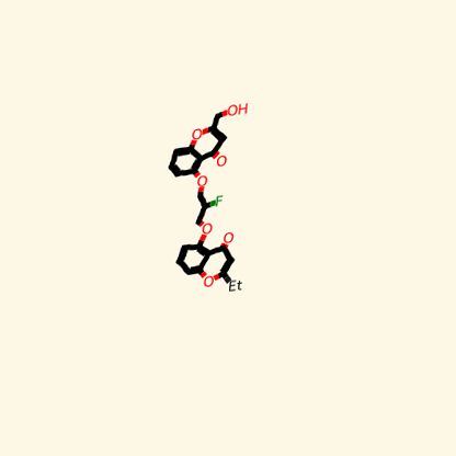 CCc1cc(=O)c2c(OCC(F)COc3cccc4oc(CO)cc(=O)c34)cccc2o1